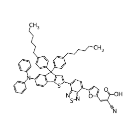 CCCCCCc1ccc(C2(c3ccc(CCCCCC)cc3)c3cc(N(c4ccccc4)c4ccccc4)ccc3-c3sc(-c4ccc(-c5ccc(/C=C(/C#N)C(=O)O)o5)c5nsnc45)cc32)cc1